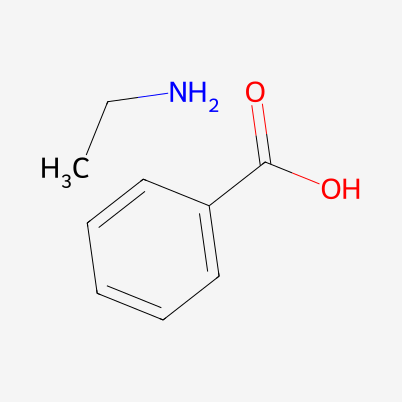 CCN.O=C(O)c1ccccc1